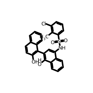 Cc1c(Cl)cccc1S(=O)(=O)Nc1cc(-c2c(O)ccc3ccccc23)c(O)c2ccccc12